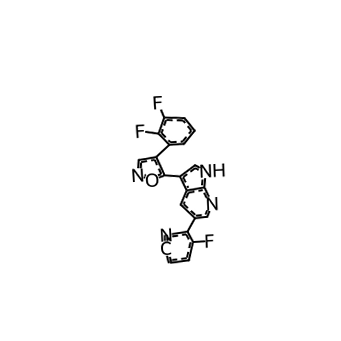 Fc1cccnc1-c1cnc2[nH]cc(-c3oncc3-c3cccc(F)c3F)c2c1